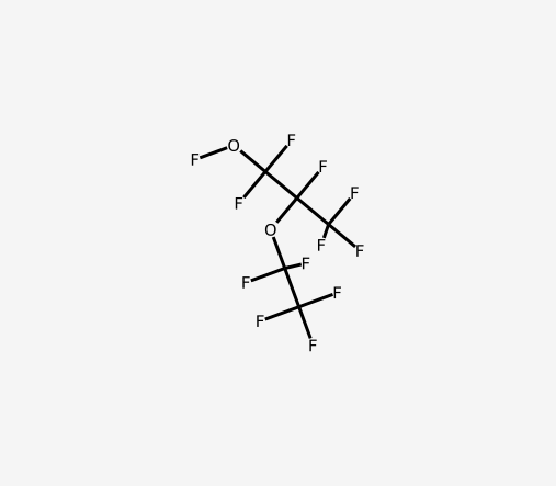 FOC(F)(F)C(F)(OC(F)(F)C(F)(F)F)C(F)(F)F